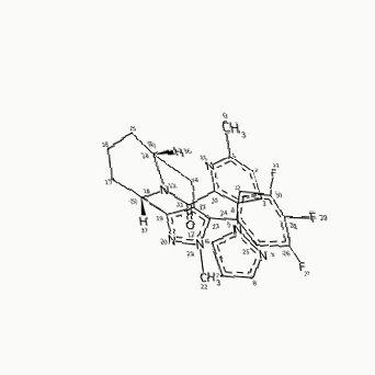 Cc1ccc(-n2cccn2)c(C(=O)N2[C@@H]3CCC[C@H]2c2nn(C)c(-c4cc(F)c(F)c(F)c4)c2C3)n1